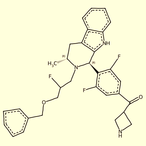 C[C@@H]1Cc2c([nH]c3ccccc23)[C@@H](c2c(F)cc(C(=O)C3CNC3)cc2F)N1CC(F)COCc1ccccc1